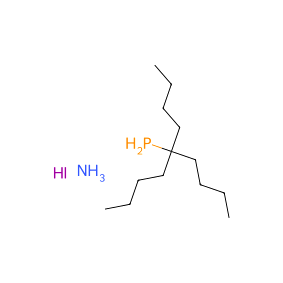 CCCCC(P)(CCCC)CCCC.I.N